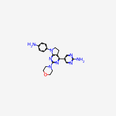 Nc1ccc(N2CCc3c(-c4cnc(N)nc4)nc(N4CCOCC4)nc32)cc1